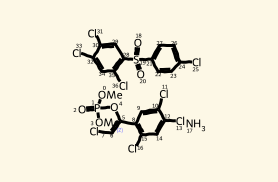 COP(=O)(OC)O/C(=C\Cl)c1cc(Cl)c(Cl)cc1Cl.N.O=S(=O)(c1ccc(Cl)cc1)c1cc(Cl)c(Cl)cc1Cl